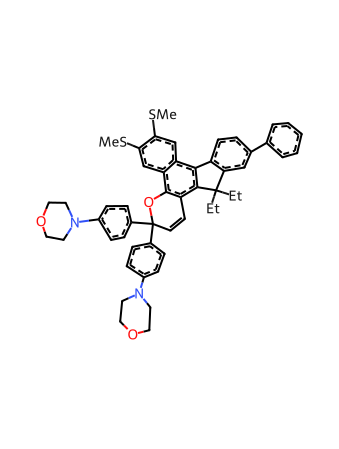 CCC1(CC)c2cc(-c3ccccc3)ccc2-c2c1c1c(c3cc(SC)c(SC)cc23)OC(c2ccc(N3CCOCC3)cc2)(c2ccc(N3CCOCC3)cc2)C=C1